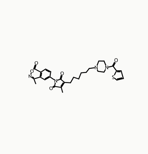 CC1=C(CCCCCCN2CCN(C(=O)c3cccs3)CC2)C(=O)N(c2ccc3c(=O)onc(C)c3c2)C1=O